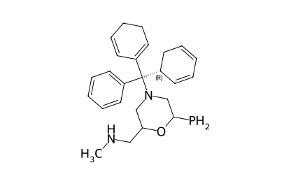 CNCC1CN(C(C2=CCCC=C2)(c2ccccc2)[C@H]2C=CC=CC2)CC(P)O1